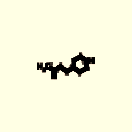 CNCCC1CCNCC1